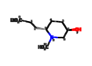 CCOC(=O)CC[C@@H]1CC[C@@H](O)CN1C(=O)O